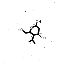 CC(C)C1C(CO)O[C@@H](O)C[C@H]1O